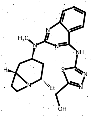 CC[C@H]1C[C@H](N(C)c2nc(Nc3nnc(CO)s3)c3ccccc3n2)C[C@H]2CCN21